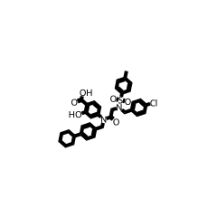 Cc1ccc(S(=O)(=O)N(CC(=O)N(Cc2ccc(C3CCCCC3)cc2)c2ccc(C(=O)O)c(O)c2)Cc2ccc(Cl)cc2)cc1